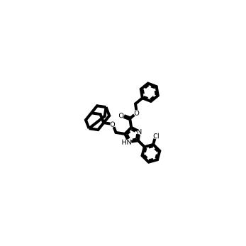 O=C(OCc1ccccc1)c1nc(-c2ccccc2Cl)[nH]c1COC12CC3CC(CC(C3)C1)C2